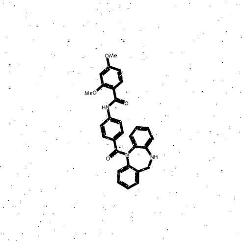 COc1ccc(C(=O)Nc2ccc(C(=O)N3c4ccccc4CNc4ccccc43)cc2)c(OC)c1